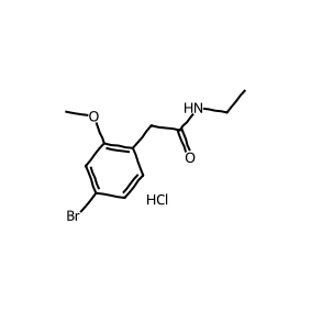 CCNC(=O)Cc1ccc(Br)cc1OC.Cl